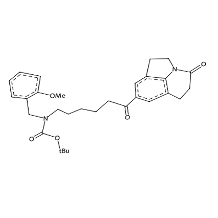 COc1ccccc1CN(CCCCCC(=O)c1cc2c3c(c1)CCN3C(=O)CC2)C(=O)OC(C)(C)C